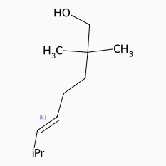 CC(C)/C=C/CCC(C)(C)CO